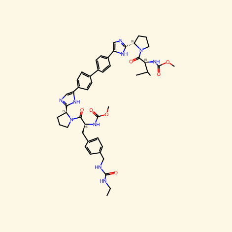 CCNC(=O)NCc1ccc(C[C@H](NC(=O)OC)C(=O)N2CCC[C@H]2c2ncc(-c3ccc(-c4ccc(-c5cnc([C@@H]6CCCN6C(=O)[C@@H](NC(=O)OC)C(C)C)[nH]5)cc4)cc3)[nH]2)cc1